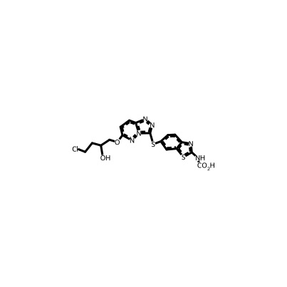 O=C(O)Nc1nc2ccc(Sc3nnc4ccc(OCC(O)CCCl)nn34)cc2s1